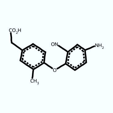 Cc1cc(CC(=O)O)ccc1Oc1ccc(N)cc1N=O